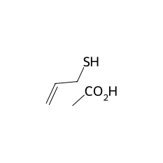 C=CCS.CC(=O)O